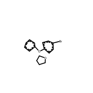 Brc1ccc(Oc2ccccc2)cc1.C1CCOC1